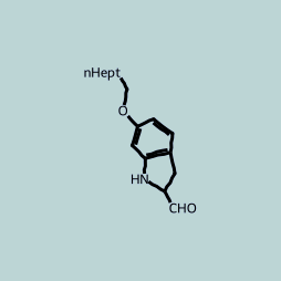 CCCCCCCCOc1ccc2c(c1)NC(C=O)C2